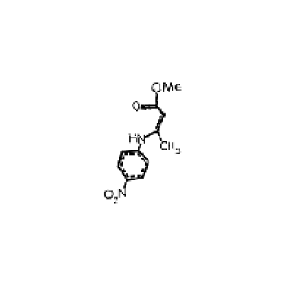 COC(=O)/C=C(/C)Nc1ccc([N+](=O)[O-])cc1